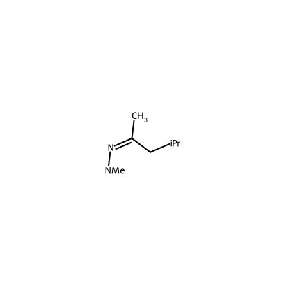 CNN=C(C)CC(C)C